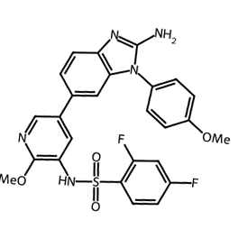 COc1ccc(-n2c(N)nc3ccc(-c4cnc(OC)c(NS(=O)(=O)c5ccc(F)cc5F)c4)cc32)cc1